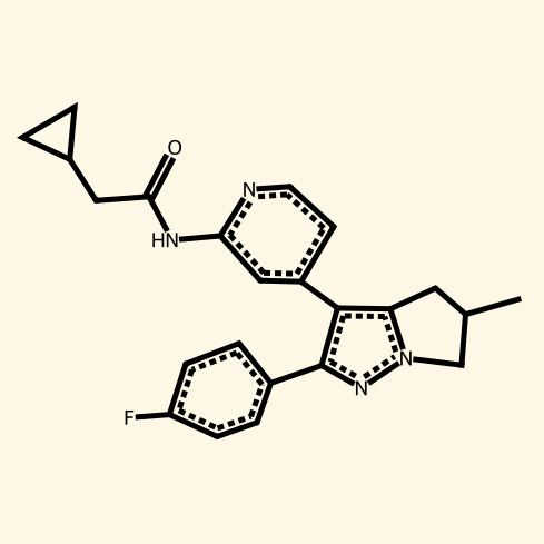 CC1Cc2c(-c3ccnc(NC(=O)CC4CC4)c3)c(-c3ccc(F)cc3)nn2C1